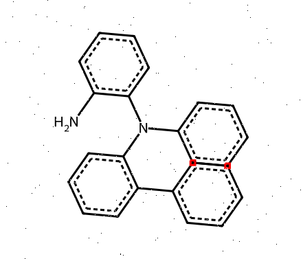 Nc1ccccc1N(c1ccccc1)c1ccccc1-c1ccccc1